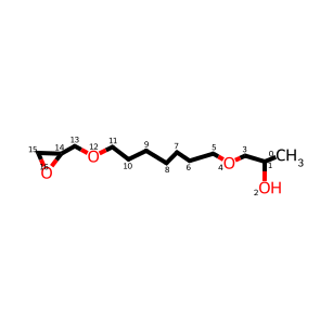 CC(O)COCCCCCCCOCC1CO1